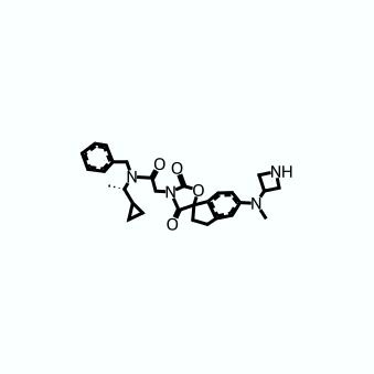 C[C@@H](C1CC1)N(Cc1ccccc1)C(=O)CN1C(=O)OC2(CCc3cc(N(C)C4CNC4)ccc32)C1=O